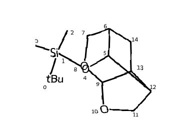 CC(C)(C)[Si](C)(C)OC1C2COC3OCC1C3C2